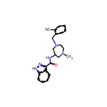 CN1CCN(Cc2ccccc2C#N)CC(NC(=O)c2n[nH]c3ccccc23)C1